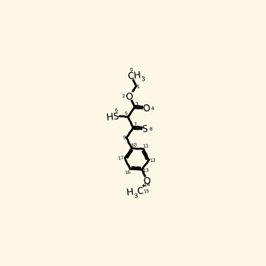 CCOC(=O)C(S)C(=S)Cc1ccc(OC)cc1